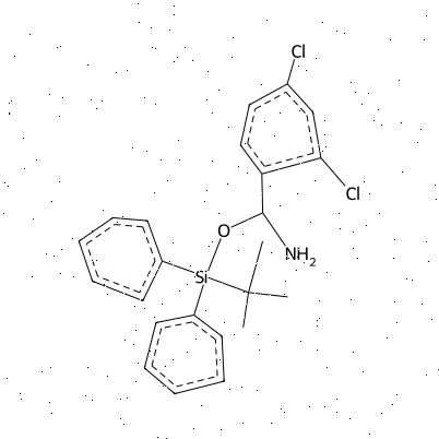 CC(C)(C)[Si](OC(N)c1ccc(Cl)cc1Cl)(c1ccccc1)c1ccccc1